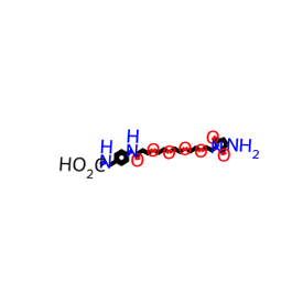 NC1CC(=O)N(CCOCCOCCOCCOCCC(=O)Nc2ccc(CNC(=O)O)cc2)C1=O